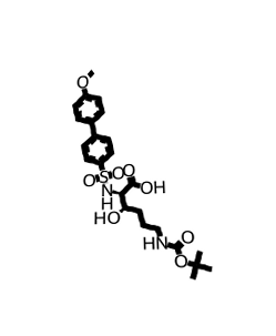 COc1ccc(-c2ccc(S(=O)(=O)N[C@@H](C(=O)O)[C@H](O)CCCNC(=O)OC(C)(C)C)cc2)cc1